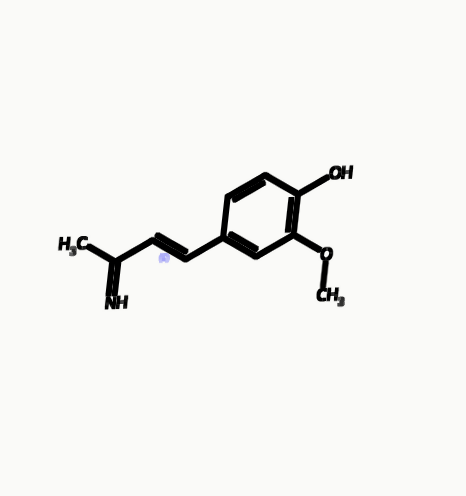 COc1cc(/C=C/C(C)=N)ccc1O